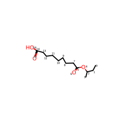 CCC(C)OC(=O)CCCCCCCC(=O)O